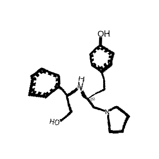 OCC(N[C@@H](Cc1ccc(O)cc1)CN1CCCC1)c1ccccc1